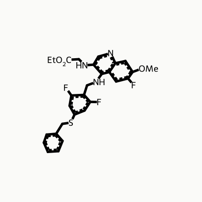 CCOC(=O)CNc1cnc2cc(OC)c(F)cc2c1NCc1c(F)cc(SCc2ccccc2)cc1F